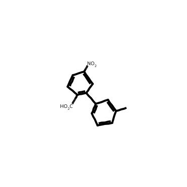 Cc1cccc(-c2cc([N+](=O)[O-])ccc2C(=O)O)c1